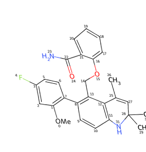 COc1cc(F)ccc1-c1ccc2c(c1COc1ccccc1C(N)=O)C(C)=CC(C)(C)N2